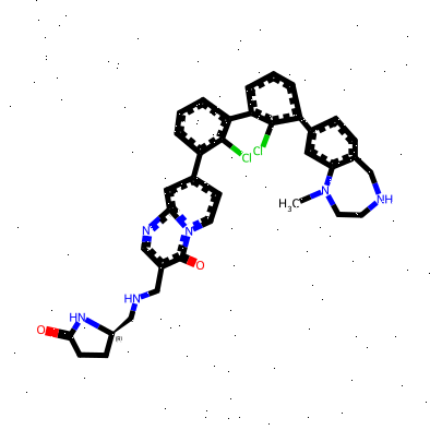 CN1CCNCc2ccc(-c3cccc(-c4cccc(-c5ccn6c(=O)c(CNC[C@H]7CCC(=O)N7)cnc6c5)c4Cl)c3Cl)cc21